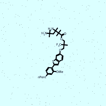 CCCCCc1ccc(-c2cc3ccc(OCC(C)(COC(=O)C(C)(C)C(C)(N)CC(C)(C)N)C(F)(F)F)cc3s2)c(OC)c1